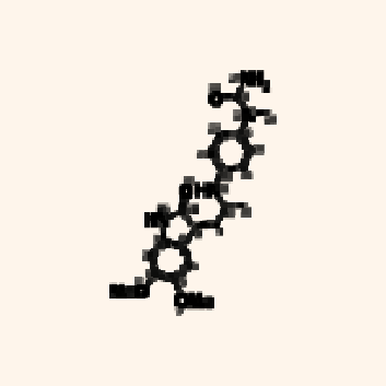 COc1cc2c(cc1OC)C(=CC(C)Nc1ccc(N(C)C(N)=O)cc1)C(=O)N2